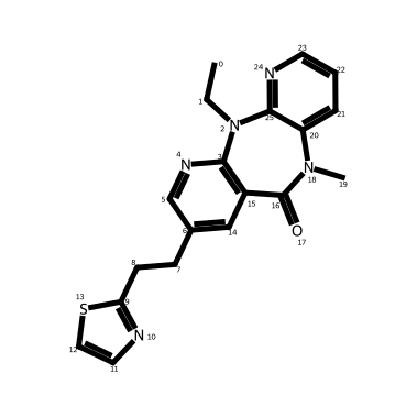 CCN1c2ncc(CCc3nccs3)cc2C(=O)N(C)c2cccnc21